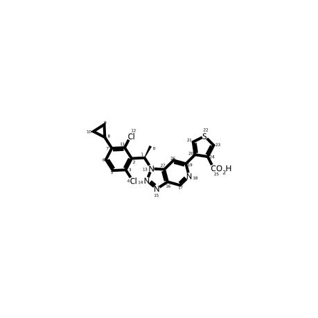 C[C@H](c1c(Cl)ccc(C2CC2)c1Cl)n1nnc2cnc(-c3cscc3C(=O)O)cc21